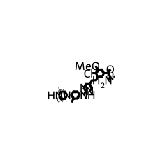 COc1cc(C(=O)N(C)N)cc(CCc2cnc(Nc3ccc(N4C[C@@H](C)N[C@@H](C)C4)c(C)c3)nc2)c1Cl